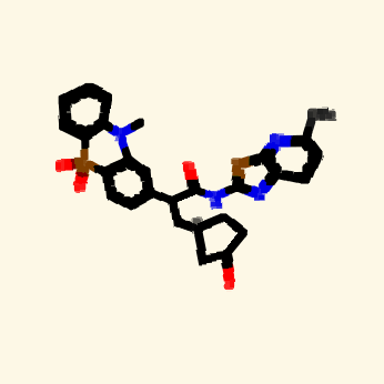 COc1ccc2nc(NC(=O)C(C[C@H]3CCC(=O)C3)c3ccc4c(c3)N(C)c3ccccc3S4(=O)=O)sc2n1